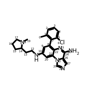 Cc1cccc(Cl)c1-c1cc(NCCC2CCCN2C)cc2c1nc(N)c1cncn12